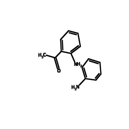 CC(=O)c1ccccc1N.Nc1ccccc1